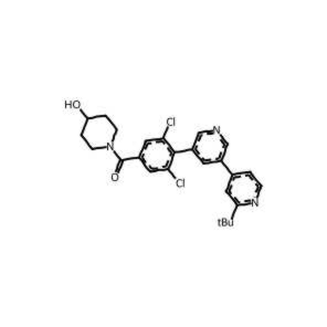 CC(C)(C)c1cc(-c2cncc(-c3c(Cl)cc(C(=O)N4CCC(O)CC4)cc3Cl)c2)ccn1